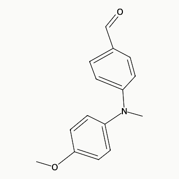 COc1ccc(N(C)c2ccc(C=O)cc2)cc1